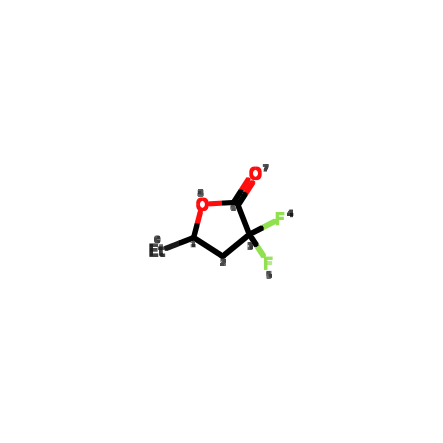 CCC1CC(F)(F)C(=O)O1